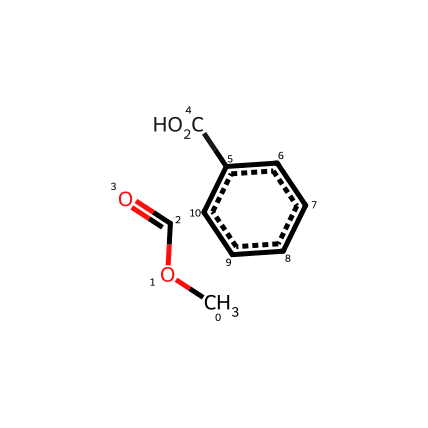 COC=O.O=C(O)c1ccccc1